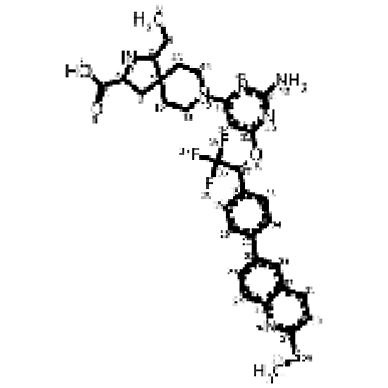 CCC1NC(C(=O)O)CC12CCN(c1cc(O[C@H](c3ccc(-c4ccc5nc(SC)ccc5c4)cc3)C(F)(F)F)nc(N)n1)CC2